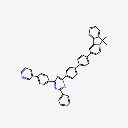 CC1(C)c2ccccc2-c2cc(-c3ccc(-c4ccc(-c5cc(-c6ccc(-c7cccnc7)cc6)nc(-c6ccccc6)n5)cc4)cc3)ccc21